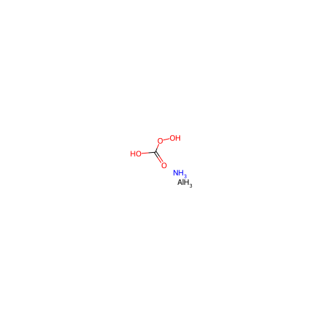 N.O=C(O)OO.[AlH3]